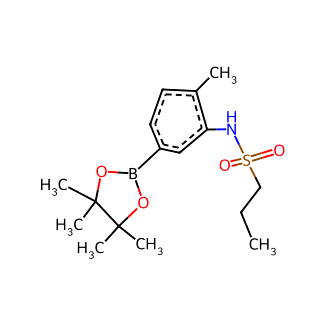 CCCS(=O)(=O)Nc1cc(B2OC(C)(C)C(C)(C)O2)ccc1C